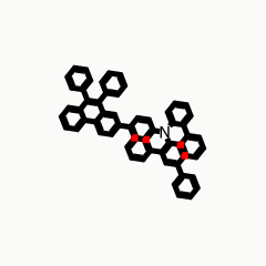 c1ccc(-c2ccc(N(c3ccc(-c4ccc5c(c4)c(-c4ccccc4)c(-c4ccccc4)c4ccccc45)cc3)c3ccccc3-c3ccccc3)c(-c3ccccc3)c2)cc1